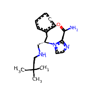 CC(C)(C)CNC[C@H](c1ccccc1)n1c[c]nc1C(N)=O